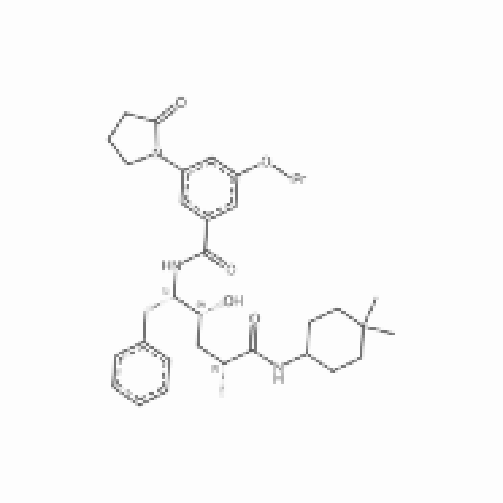 CC(C)Oc1cc(C(=O)N[C@@H](Cc2ccccc2)[C@H](O)C[C@@H](C)C(=O)NC2CCC(C)(C)CC2)cc(N2CCCC2=O)c1